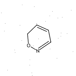 [C]1=CC=NOC1